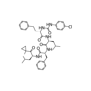 CC(C)C[C@H](NC(=O)[C@H](CCc1ccccc1)NC(=O)Nc1ccc(Cl)cc1)C(=O)N[C@@H](Cc1ccccc1)C(=O)N[C@@H](CC(C)C)C(=O)C1(C)CC1